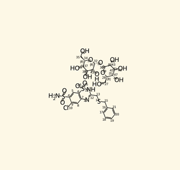 NS(=O)(=O)c1cc2c(cc1Cl)N=C(CSCc1ccccc1)NS2(=O)=O.OC[C@H]1O[C@H](O[C@H]2O[C@H](CO)[C@@H](O)[C@H](O)[C@H]2O)[C@H](O)[C@@H](O)[C@@H]1O